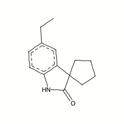 CCc1ccc2c(c1)C1(CCCC1)C(=O)N2